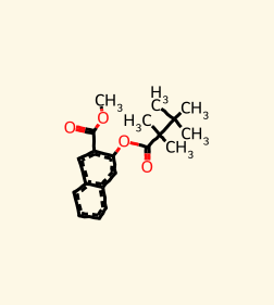 COC(=O)c1cc2ccccc2cc1OC(=O)C(C)(C)C(C)(C)C